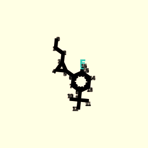 CCCC1CC1c1cc(C(C)(C)C)ccc1F